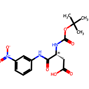 CC(C)(C)OC(=O)N[C@H](CC(=O)O)C(=O)Nc1cccc([N+](=O)[O-])c1